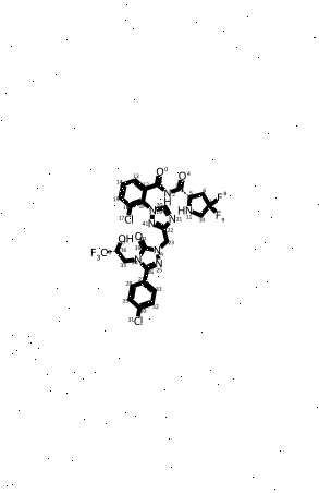 O=C(NC(=O)[C@@H]1CC(F)(F)CN1)c1cccc(Cl)c1-n1cnc(Cn2nc(-c3ccc(Cl)cc3)n(C[C@@H](O)C(F)(F)F)c2=O)n1